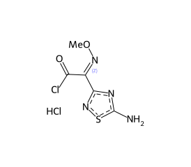 CO/N=C(\C(=O)Cl)c1nsc(N)n1.Cl